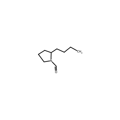 CCCCC1CCCN1C=O